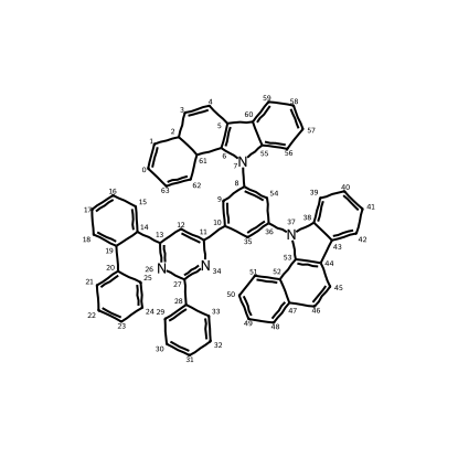 C1=CC2C=Cc3c(n(-c4cc(-c5cc(-c6ccccc6-c6ccccc6)nc(-c6ccccc6)n5)cc(-n5c6ccccc6c6ccc7ccccc7c65)c4)c4ccccc34)C2C=C1